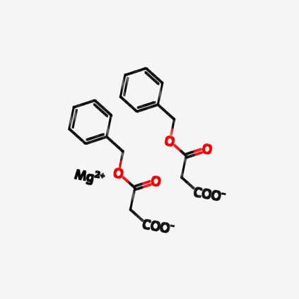 O=C([O-])CC(=O)OCc1ccccc1.O=C([O-])CC(=O)OCc1ccccc1.[Mg+2]